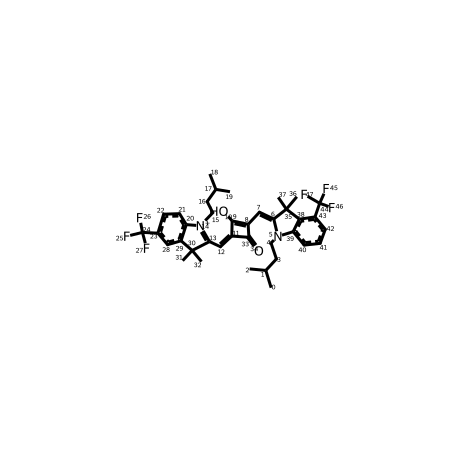 CC(C)CCN1/C(=C\C2=C(O)C(=C\C3=[N+](CCC(C)C)c4ccc(C(F)(F)F)cc4C3(C)C)/C2=O)C(C)(C)c2c1cccc2C(F)(F)F